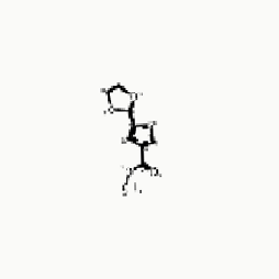 COC(=O)c1csc(C2OCCO2)c1